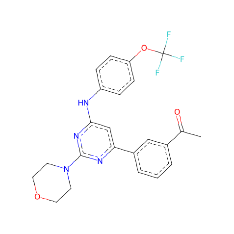 CC(=O)c1cccc(-c2cc(Nc3ccc(OC(F)(F)F)cc3)nc(N3CCOCC3)n2)c1